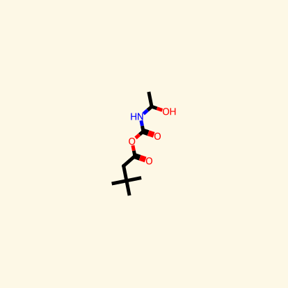 CC(O)NC(=O)OC(=O)CC(C)(C)C